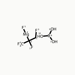 FC[C](F)([Mg][F])C(F)(F)F.OB(O)O